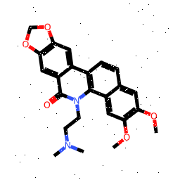 COc1cc2ccc3c4cc5c(cc4c(=O)n(CCN(C)C)c3c2cc1OC)OCO5